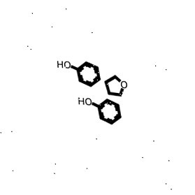 C1CCOC1.Oc1ccccc1.Oc1ccccc1